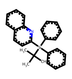 CC(C)(C)[Si](c1ccccc1)(c1ccccc1)c1ccc2ccccc2n1